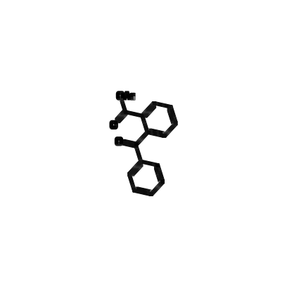 CC(=O)OC(=O)c1ccccc1C(=O)c1ccccc1